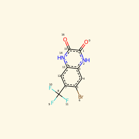 O=c1[nH]c2cc(Br)c(C(F)(F)F)cc2[nH]c1=O